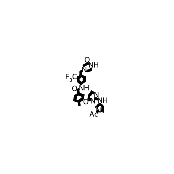 CC(=O)N1CCC(Nc2nccc(Oc3cc(C(=O)Nc4ccc(CN5CCNC(=O)C5)c(C(F)(F)F)c4)ccc3C)n2)C1